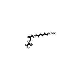 C=C(COCCCCCCCCCCCCCCCC)COC(=O)CBr